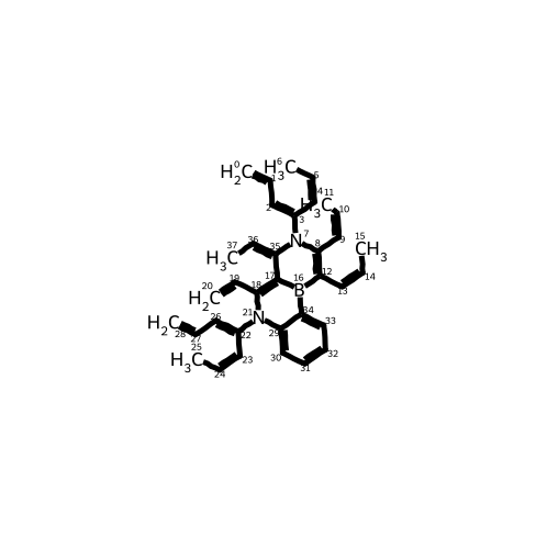 C=C/C=C(\C=C/C)N1C(/C=C\C)=C(/C=C\C)B2C(=C(C=C)N(C(/C=C\C)=C/C=C)c3ccccc32)/C1=C\C